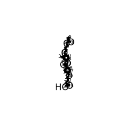 C=CC(=O)OCCCOc1ccc(OC(=O)c2ccc(OCCCC(=O)O)cc2)cc1C